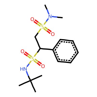 CN(C)S(=O)(=O)CC(c1ccccc1)S(=O)(=O)NC(C)(C)C